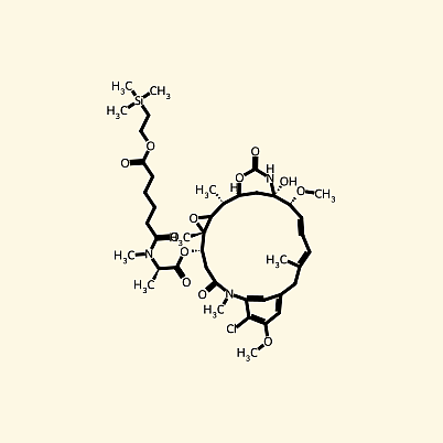 COc1cc2cc(c1Cl)N(C)C(=O)C[C@H](OC(=O)[C@@H](C)N(C)C(=O)CCCCC(=O)OCC[Si](C)(C)C)[C@]1(C)OC1[C@H](C)[C@@H]1C[C@@](O)(NC(=O)O1)[C@H](OC)/C=C/C=C(\C)C2